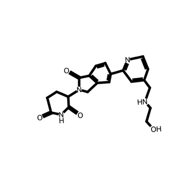 O=C1CCC(N2Cc3cc(-c4cc(CNCCO)ccn4)ccc3C2=O)C(=O)N1